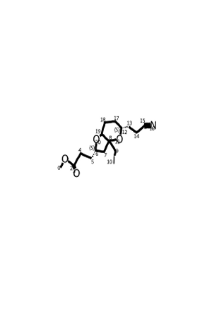 COC(=O)CC[C@H]1CC2(CI)O[C@@H](CCC#N)CCC2O1